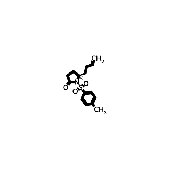 C=CCC[C@@H]1CCC(=O)N1S(=O)(=O)c1ccc(C)cc1